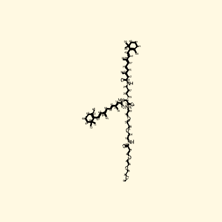 COCCOCCOCCC(=O)NCCOCCOCCNC(=O)[C@@H](CCCCNC(=O)/C=C(C)/C=C/C=C(C)/C=C/C1=C(C)CCCC1(C)C)NC(=O)/C=C(C)/C=C/C=C(C)/C=C/C1=C(C)CCCC1(C)C